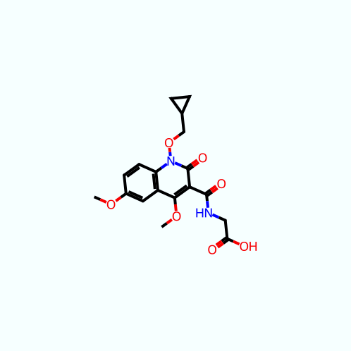 COc1ccc2c(c1)c(OC)c(C(=O)NCC(=O)O)c(=O)n2OCC1CC1